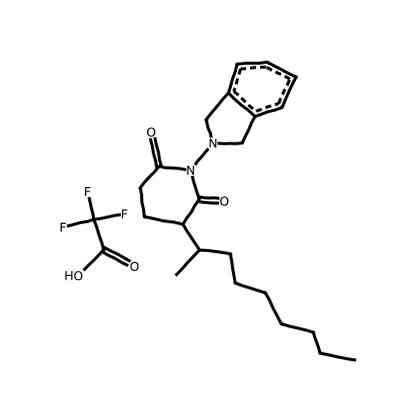 CCCCCCCC(C)C1CCC(=O)N(N2Cc3ccccc3C2)C1=O.O=C(O)C(F)(F)F